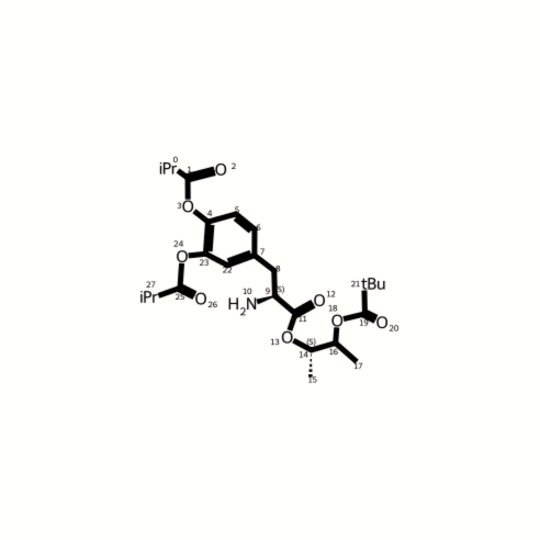 CC(C)C(=O)Oc1ccc(C[C@H](N)C(=O)O[C@@H](C)C(C)OC(=O)C(C)(C)C)cc1OC(=O)C(C)C